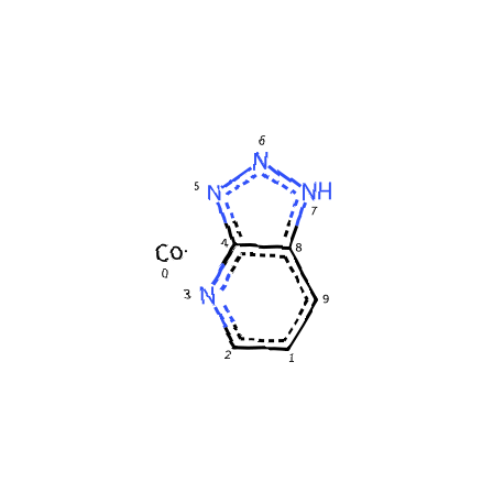 [Co].c1cnc2nn[nH]c2c1